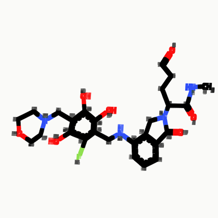 CNC(=O)C(CCC=O)N1Cc2c(NCc3c(O)c(O)c(CN4CCOCC4)c(O)c3F)cccc2C1=O